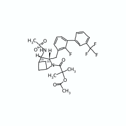 CC(=O)OC(C)(C)C(=O)N1C2CC(C2)[C@H](NS(C)(=O)=O)[C@@H]1Cc1cccc(-c2cccc(C(F)(F)F)c2)c1F